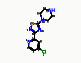 Clc1ccnc(-c2nsc(N3CCNCC3)n2)c1